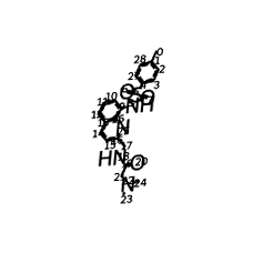 Cc1ccc(S(=O)(=O)Nc2cccc3ccc(CNC(=O)CN(C)C)nc23)cc1